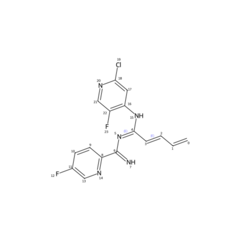 C=C/C=C/C(=N\C(=N)c1ccc(F)cn1)Nc1cc(Cl)ncc1F